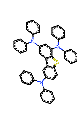 c1ccc(N(c2ccccc2)c2ccc3sc4c(N(c5ccccc5)c5ccccc5)cc(N(c5ccccc5)c5ccccc5)cc4c3c2)cc1